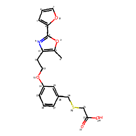 Cc1oc(-c2ccco2)nc1CCOc1cccc(CSCC(=O)O)c1